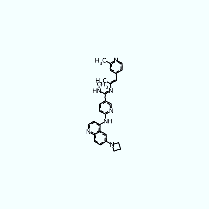 CN/C(=N\C(C)=C\c1ccnc(C)c1)c1ccc(Nc2ccnc3ccc(N4CCC4)cc23)nc1